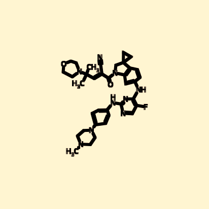 CN1CCN(c2ccc(Nc3ncc(F)c(Nc4ccc5c(c4)N(C(=O)C(C#N)=CC(C)(C)N4CCOCC4)CC54CC4)n3)cc2)CC1